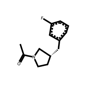 CC(=O)N1CC[C@@H](Cc2cccc(F)c2)C1